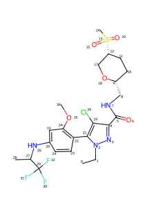 CCn1nc(C(=O)NC[C@H]2CC[C@@H](S(C)(=O)=O)CO2)c(Cl)c1-c1ccc(NC(C)C(F)(F)F)cc1OC